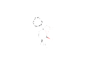 C=C1CCC(CBr)(c2ccccc2)OC1=O